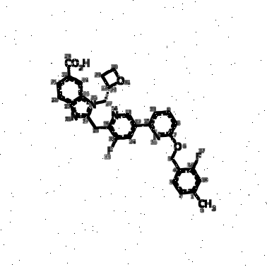 Cc1ccc(COc2cccc(-c3cnc(Cc4nc5ccc(C(=O)O)cc5n4C[C@@H]4CCO4)c(F)c3)n2)c(F)c1